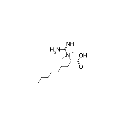 CCCCCCCC(C(=O)O)[N+](C)(C)C(=N)N